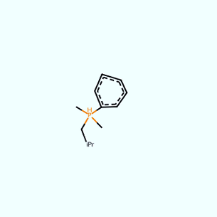 CC(C)C[PH](C)(C)c1ccccc1